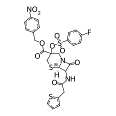 O=C(Cc1cccs1)NC1C(=O)N2CC(OS(=O)(=O)c3ccc(F)cc3)(C(=O)OCc3ccc([N+](=O)[O-])cc3)CS[C@H]12